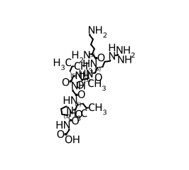 CC(C)C[C@H](NC(=O)[C@H](C)NC(=O)[C@H](CCCNC(=N)N)NC(=O)[C@@H](N)CCCCN)C(=O)NCC(=O)N[C@@H](CC(C)C)C(=O)N1CCC[C@H]1C(=O)NCC(=O)O